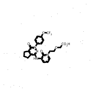 O=C(O)COCCn1cccc(Nc2nn(-c3ccc(OC(F)(F)F)cc3)c(=O)c3c2CCC3)c1=O